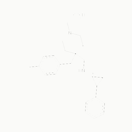 O=C(O)CN1CCC(CN[C@@H]2CC2c2ccccc2)(Cc2ccc(F)cc2)CC1